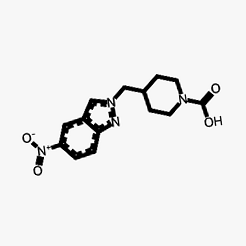 O=C(O)N1CCC(Cn2cc3cc([N+](=O)[O-])ccc3n2)CC1